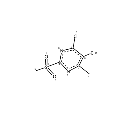 Cc1nc(S(C)(=O)=O)nc(Cl)c1Cl